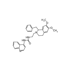 COc1cc2c(cc1OC)C(Cc1ccccc1)N(CCNC(=O)Nc1ccnc3ccccc13)CC2